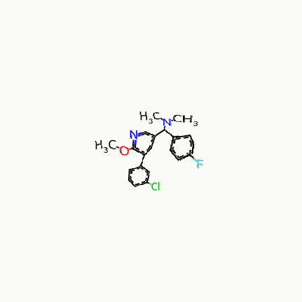 COc1ncc(C(c2ccc(F)cc2)N(C)C)cc1-c1cccc(Cl)c1